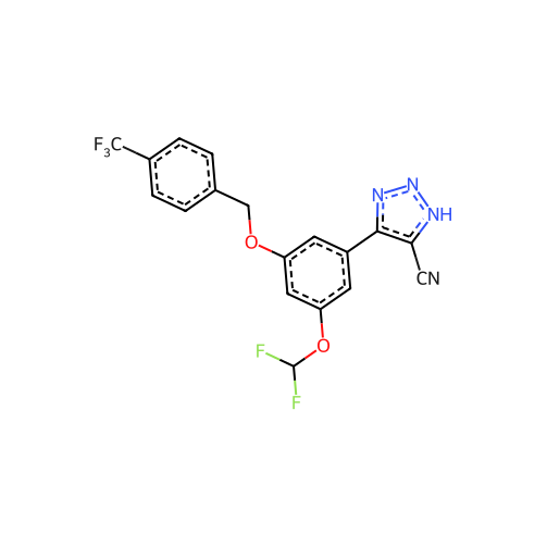 N#Cc1[nH]nnc1-c1cc(OCc2ccc(C(F)(F)F)cc2)cc(OC(F)F)c1